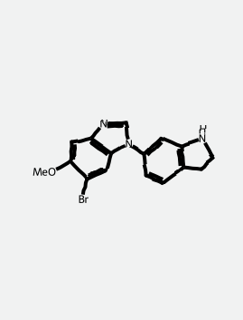 COc1cc2ncn(-c3ccc4c(c3)NCC4)c2cc1Br